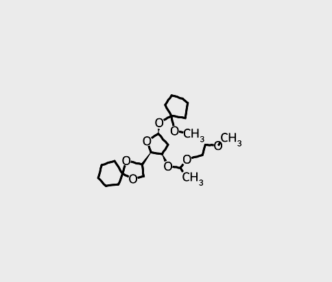 COCCOC(C)O[C@@H]1C[C@@H](OC2(OC)CCCCC2)O[C@@H]1C1COC2(CCCCC2)O1